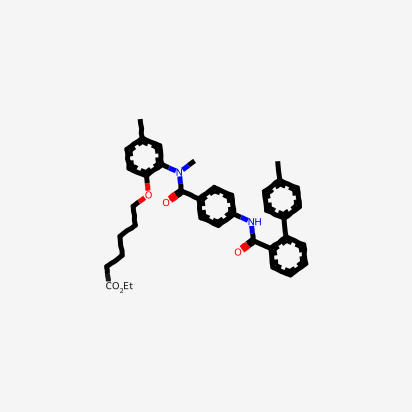 CCOC(=O)CCCCCOc1ccc(C)cc1N(C)C(=O)c1ccc(NC(=O)c2ccccc2-c2ccc(C)cc2)cc1